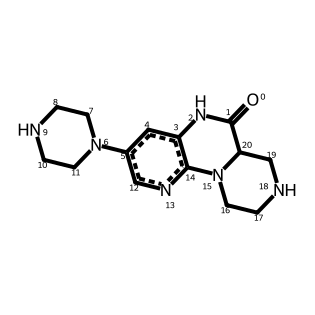 O=C1Nc2cc(N3CCNCC3)cnc2N2CCNCC12